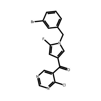 O=C(c1cc(F)n(Cc2cccc(Br)c2)c1)c1cncnc1Cl